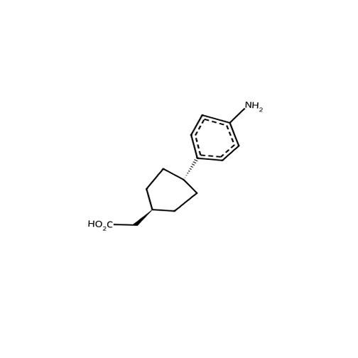 Nc1ccc([C@H]2CC[C@H](CC(=O)O)CC2)cc1